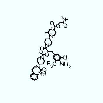 CC1CN(C(=O)OCC(=O)N(C)C)CCN1C1CCN(C(=O)[C@@H](Cc2cc(Cl)c(N)c(C(F)(F)F)c2)OC(=O)N2CCC(N3CCc4ccccc4NC3=O)CC2)CC1